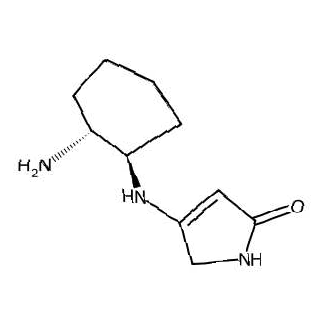 N[C@@H]1CCCC[C@H]1NC1=CC(=O)NC1